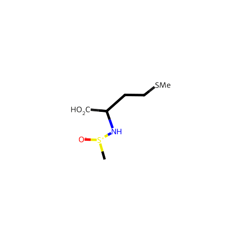 CSCCC(N[S+](C)[O-])C(=O)O